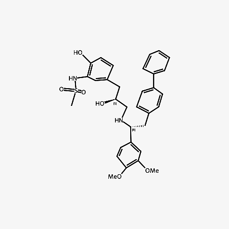 COc1ccc([C@@H](Cc2ccc(-c3ccccc3)cc2)NC[C@@H](O)Cc2ccc(O)c(NS(C)(=O)=O)c2)cc1OC